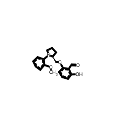 COc1ccccc1N1CCC[C@H]1COc1cccc(O)c1C=O